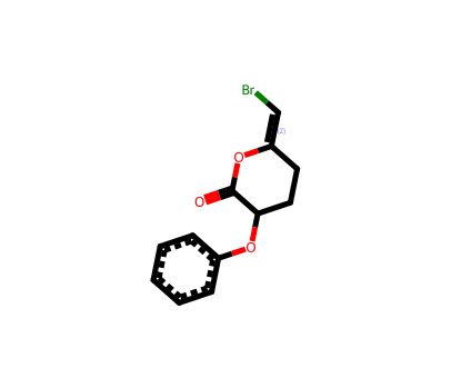 O=C1O/C(=C\Br)CCC1Oc1ccccc1